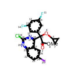 COC(=O)C(OC1CC1)(c1cc(F)cc(F)c1)c1nc(Cl)nc2ccc(I)cc12